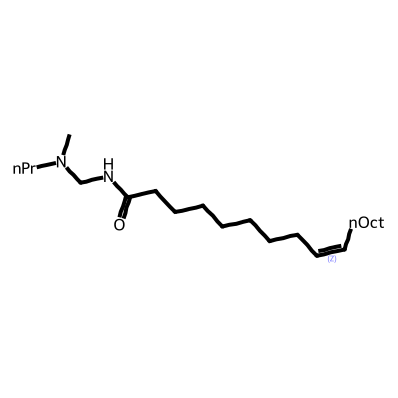 CCCCCCCC/C=C\CCCCCCCC(=O)NCN(C)CCC